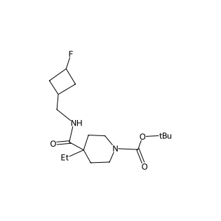 CCC1(C(=O)NCC2CC(F)C2)CCN(C(=O)OC(C)(C)C)CC1